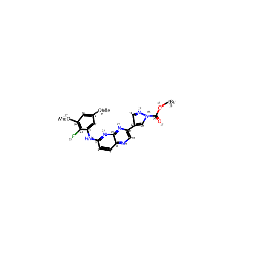 COc1cc(Nc2ccc3ncc(-c4cnn(C(=O)OC(C)(C)C)c4)nc3n2)c(F)c(OC)c1